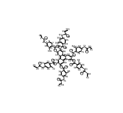 C=CC(=O)Cc1ccc(C(=O)Oc2cc3c4cc(OC(=O)c5ccc(CC(=O)C=C)cc5C)c(OC(=O)c5ccc(CC(=O)C=C)cc5C)cc4c4cc(OC(=O)c5ccc(CC(=O)C=C)cc5C)c(OC(=O)c5ccc(CC(=O)C=C)cc5C)cc4c3cc2OC(=O)c2ccc(CC(=O)C=C)cc2C)c(C)c1